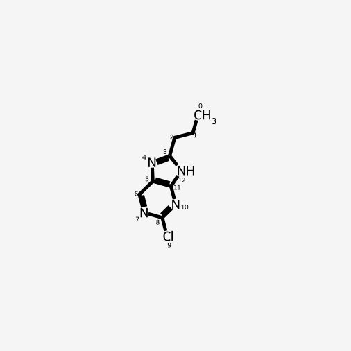 CCCc1nc2cnc(Cl)nc2[nH]1